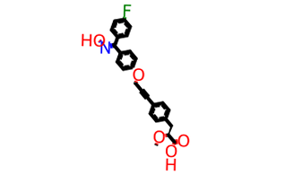 CO[C@@H](Cc1ccc(C#CCOc2ccc(C(=NO)c3ccc(F)cc3)cc2)cc1)C(=O)O